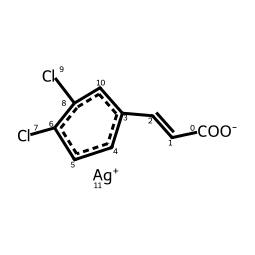 O=C([O-])C=Cc1ccc(Cl)c(Cl)c1.[Ag+]